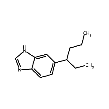 CCCC(CC)c1ccc2nc[nH]c2c1